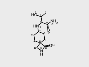 CC(O)C(NC1CCC2(CC1)CNC2=O)C(N)=O